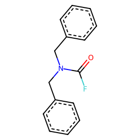 O=C(F)N(Cc1ccccc1)Cc1ccccc1